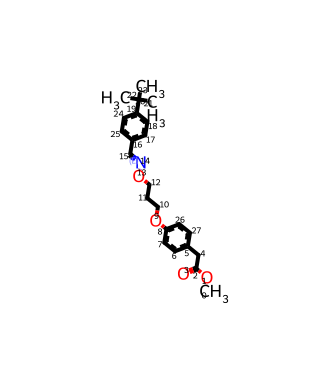 COC(=O)Cc1ccc(OCCCO/N=C/c2ccc(C(C)(C)C)cc2)cc1